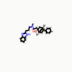 CN(CCCc1nc2ccccc2[nH]1)CC[C@@]1(O)C[C@@H]2CC[C@H]1C=C2c1ccccc1